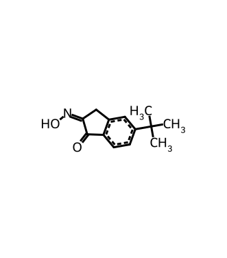 CC(C)(C)c1ccc2c(c1)C/C(=N/O)C2=O